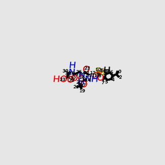 C=C(C)C1CC[C@]2(C)O[P@](=S)(OC[C@H](NC(=O)OC(C)(C)C)C(=O)NCC(=O)N[C@@H](C)C(=O)O)S[C@H]2C1